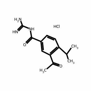 CC(=O)c1cc(C(=O)NC(=N)N)ccc1C(C)C.Cl